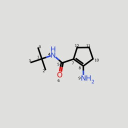 CC(C)(C)NC(=O)C1=C(N)CCC1